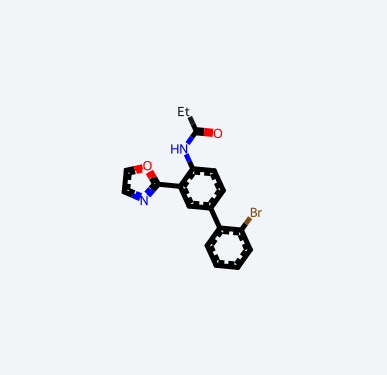 CCC(=O)Nc1ccc(-c2ccccc2Br)cc1-c1ncco1